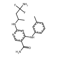 Cc1cccc(Nc2nc(NC(C)CC(N)(F)F)ncc2C(N)=O)c1